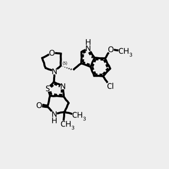 COc1cc(Cl)cc2c(C[C@H]3COCCN3c3nc4c(s3)C(=O)NC(C)(C)C4)c[nH]c12